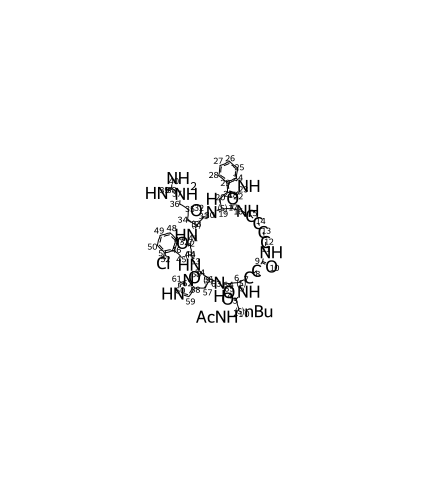 CCCC[C@H](NC(C)=O)C(=O)N[C@H]1CCC(=O)NCCCCNC(=O)[C@H](Cc2c[nH]c3ccccc23)NC(=O)[C@H](CCCNC(=N)N)NC(=O)[C@@H](Cc2ccccc2Cl)NC(=O)[C@H](Cc2c[nH]cn2)NC1=O